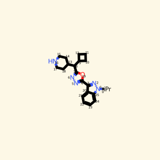 CC(C)n1nc(-c2nnc(C(C3CCC3)C3CCNCC3)o2)c2ccccc21